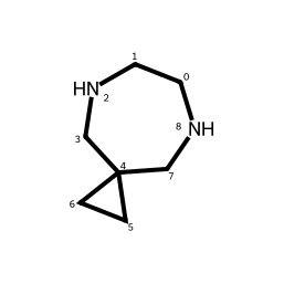 C1CNCC2(CC2)CN1